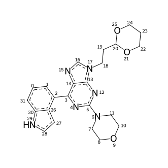 c1cc(-c2nc(N3CCOCC3)nc3c2ncn3CCC2OCCCO2)c2cc[nH]c2c1